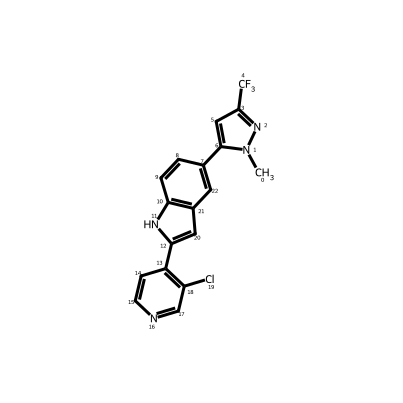 Cn1nc(C(F)(F)F)cc1-c1ccc2[nH]c(-c3ccncc3Cl)cc2c1